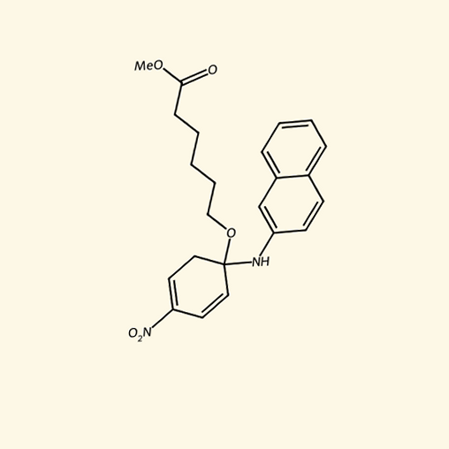 COC(=O)CCCCCOC1(Nc2ccc3ccccc3c2)C=CC([N+](=O)[O-])=CC1